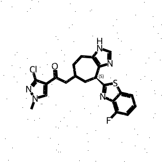 Cn1cc(C(=O)CC2CCc3[nH]cnc3[C@@H](c3nc4c(F)cccc4s3)C2)c(Cl)n1